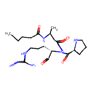 CCCCC(=O)NC(C)C(=O)N(C(=O)[C@@H]1CCCN1)[C@H](C=O)CCCNC(=N)N